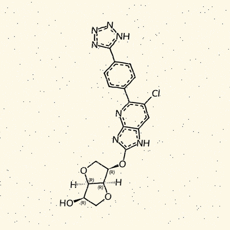 O[C@@H]1CO[C@H]2[C@@H]1OC[C@H]2Oc1nc2nc(-c3ccc(-c4nnn[nH]4)cc3)c(Cl)cc2[nH]1